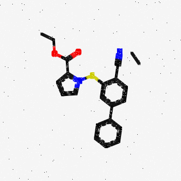 CC.CCOC(=O)c1cccn1Sc1cc(-c2ccccc2)ccc1C#N